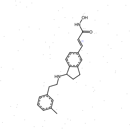 Cc1cccc(CCNC2CCc3cc(/C=C/C(=O)NO)ccc32)c1